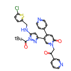 CC(C)(C)C(=O)n1nc(-c2cn(CC(=O)c3cccnc3)c(=O)cc2-c2ccncc2)cc1NCc1ccc(Cl)s1